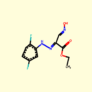 CCOC(=O)C(/C=N/O)=N/Nc1cc(F)ccc1F